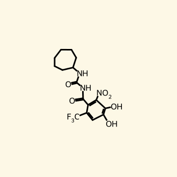 O=C(NC(=O)c1c(C(F)(F)F)cc(O)c(O)c1[N+](=O)[O-])NC1CCCCCC1